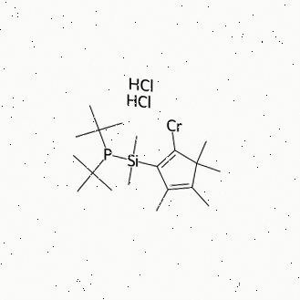 CC1=C(C)C(C)(C)[C]([Cr])=C1[Si](C)(C)P(C(C)(C)C)C(C)(C)C.Cl.Cl